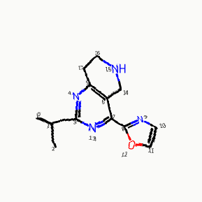 CC(C)c1nc2c(c(-c3ncco3)n1)CNCC2